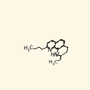 CCCCc1ccc2ccc3c(c2n1)NC(CC)CC3